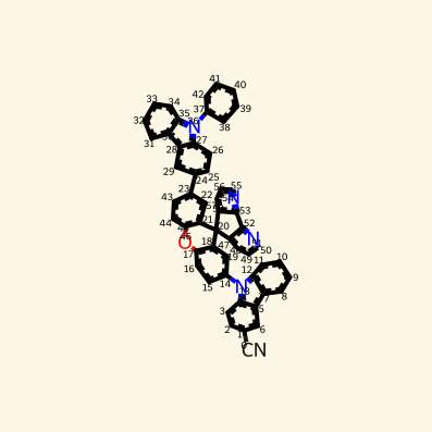 N#Cc1ccc2c(c1)c1ccccc1n2-c1ccc2c(c1)C1(c3cc(-c4ccc5c(c4)c4ccccc4n5-c4ccccc4)ccc3O2)c2cccnc2-c2ncccc21